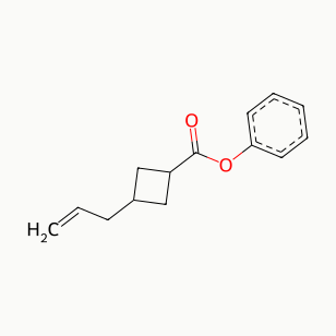 C=CCC1CC(C(=O)Oc2ccccc2)C1